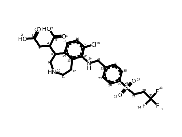 O=C(O)CC(C(=O)O)C1CNCCc2c1ccc(Cl)c2NCc1ccc(S(=O)(=O)CCC(F)(F)F)cc1